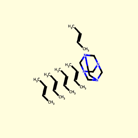 C/C=C/C.C/C=C/C.C/C=C/C.C/C=C/C.C/C=C/C.C1N2CN3CN1CN(C2)C3